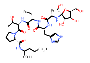 CC(C)C[C@H](NC(=O)[C@H](Cc1c[nH]cn1)NC(=O)[C@@H](N[C@@]1(CO)O[C@H](CO)[C@@H](O)[C@@H]1O)C(C)C)C(=O)N[C@H](C(=O)N1CCC[C@H]1C(=O)N[C@@H](CCC(=O)O)C(=O)O)[C@@H](C)O